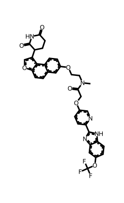 CN(CCOc1ccc2c(ccc3occ(C4CCC(=O)NC4=O)c32)c1)C(=O)COc1ccc(-c2nc3cc(OC(F)(F)F)ccc3[nH]2)nc1